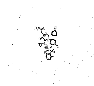 NC(=O)C[C@H]1O[C@H](c2cccc(Cl)c2)[C@@H](c2ccc(Cl)cc2)N([C@H](CNS(=O)(=O)C2(c3c(F)cccc3F)CC2)C2CC2)C1=O